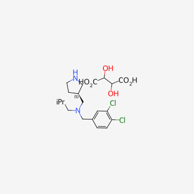 CC(C)CN(Cc1ccc(Cl)c(Cl)c1)C[C@H]1CCNC1.O=C(O)C(O)C(O)C(=O)O